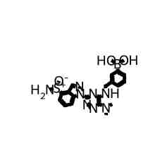 CN(C)c1nnc(-n2ncc3c([S+](N)[O-])cccc32)nc1NCc1cccc(B(O)O)c1